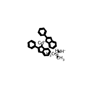 C1=C(c2ccccc2)[CH]([Gd+][CH]2C(c3ccccc3)=Cc3ccccc32)c2ccccc21.C[SiH](C)[NH-]